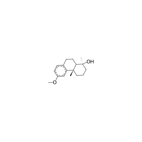 COc1ccc2c(c1)[C@@]1(C)CCC[C@](C)(O)C1CC2